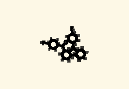 O=C(c1ccc(F)cc1)c1cccc2c3ccccc3n(-c3ccc(F)cc3)c12